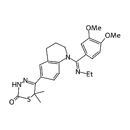 CCN=C(c1ccc(OC)c(OC)c1)N1CCCc2cc(C3=NNC(=O)SC3(C)C)ccc21